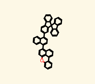 c1ccc2c(c1)Oc1ccc(-c3ccc(-c4ccc5c(c4)C4(c6ccccc6-c6ccccc64)c4ccccc4-5)c4ccccc34)c3cccc-2c13